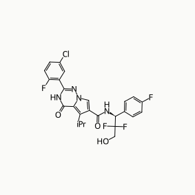 CC(C)c1c(C(=O)N[C@@H](c2ccc(F)cc2)C(F)(F)CO)cn2nc(-c3cc(Cl)ccc3F)[nH]c(=O)c12